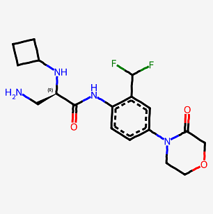 NC[C@@H](NC1CCC1)C(=O)Nc1ccc(N2CCOCC2=O)cc1C(F)F